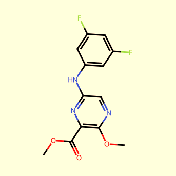 COC(=O)c1nc(Nc2cc(F)cc(F)c2)cnc1OC